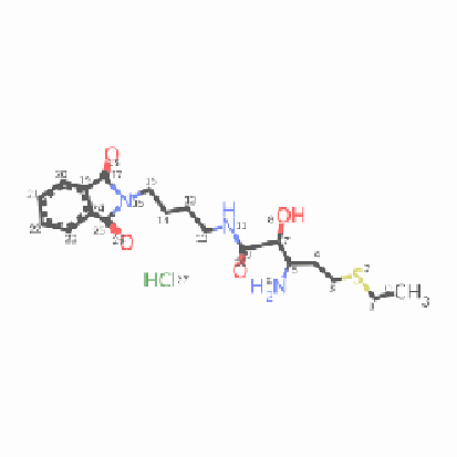 CCSCC[C@@H](N)C(O)C(=O)NCCCCN1C(=O)c2ccccc2C1=O.Cl